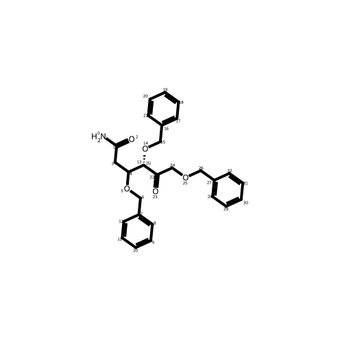 NC(=O)CC(OCc1ccccc1)[C@H](OCc1ccccc1)C(=O)COCc1ccccc1